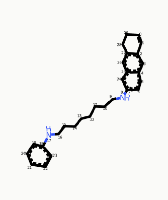 C1=Cc2cc3ccc(NCCCCCCCCNc4ccccc4)cc3cc2CC1